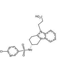 O=C(O)CCn1c2c(c3ccccc31)C[C@H](NS(=O)(=O)c1ccc(Cl)nc1)CC2